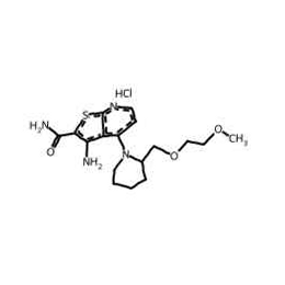 COCCOCC1CCCCN1c1ccnc2sc(C(N)=O)c(N)c12.Cl